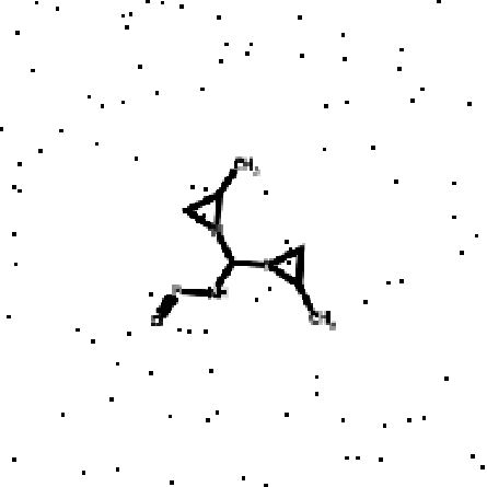 CC1CN1C(NP=O)N1CC1C